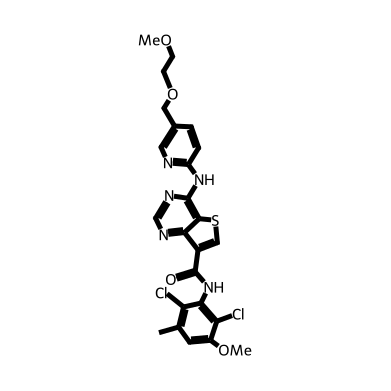 COCCOCc1ccc(Nc2ncnc3c(C(=O)Nc4c(Cl)c(C)cc(OC)c4Cl)csc23)nc1